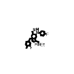 C=CC1(Cc2ccc(C)c(F)c2)CC(C=N)=C(Nc2ccc(F)cc2)C=C1CCNCC